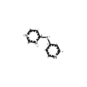 [c]1nccc(Sc2ccncc2)n1